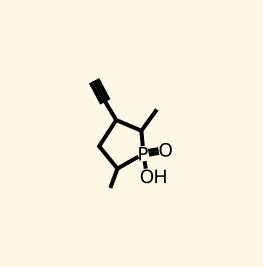 C#CC1CC(C)P(=O)(O)C1C